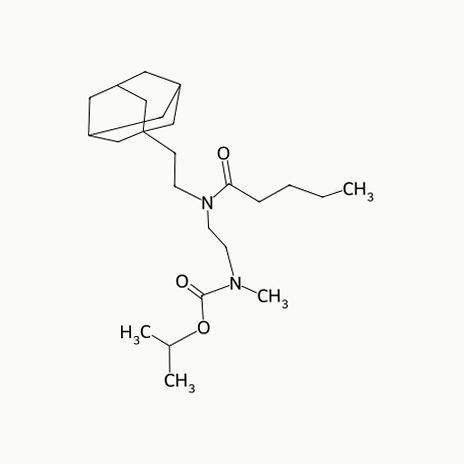 CCCCC(=O)N(CCN(C)C(=O)OC(C)C)CCC12CC3CC(CC(C3)C1)C2